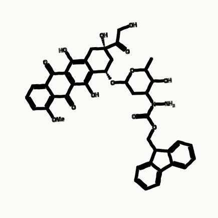 COc1cccc2c1C(=O)c1c(O)c3c(c(O)c1C2=O)C[C@@](O)(C(=O)CO)C[C@@H]3OC1CC(N(N)C(=O)OCC2c3ccccc3-c3ccccc32)C(O)C(C)O1